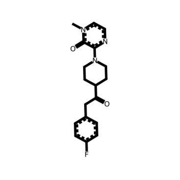 Cn1ccnc(N2CCC(C(=O)Cc3ccc(F)cc3)CC2)c1=O